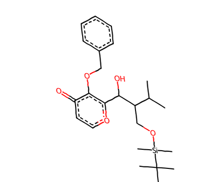 CC(C)C(CO[Si](C)(C)C(C)(C)C)C(O)c1occc(=O)c1OCc1ccccc1